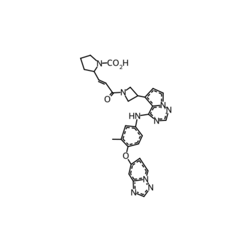 Cc1cc(Nc2ncnn3ccc(C4CN(C(=O)C=CC5CCCN5C(=O)O)C4)c23)ccc1Oc1ccn2ncnc2c1